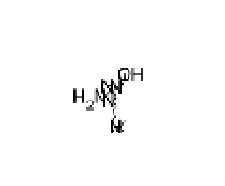 CC(C)N(C)CCCCc1cc2c(ncn2CC(C)(C)O)c(N)n1